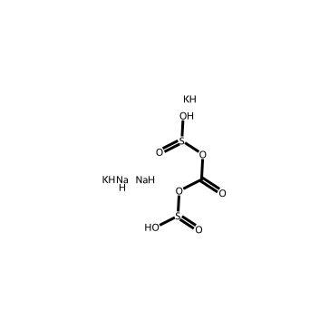 O=C(OS(=O)O)OS(=O)O.[KH].[KH].[NaH].[NaH]